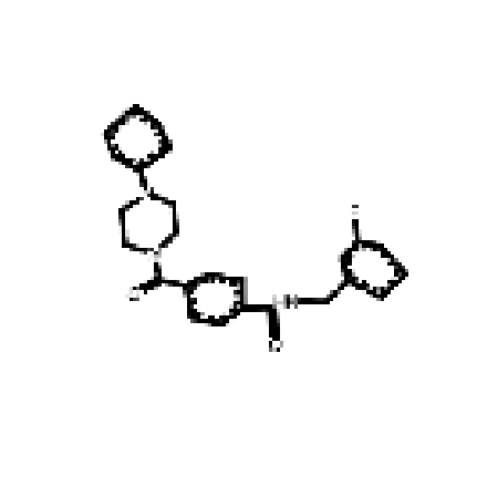 O=C(NCc1cccc(F)c1)c1ccc(C(=O)N2CCN(c3ccccc3)CC2)cc1